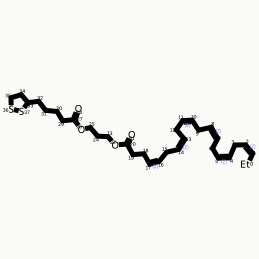 CC/C=C\C/C=C\C/C=C\C/C=C\C/C=C\C/C=C\CCC(=O)OCCCOC(=O)CCCCC1CCSS1